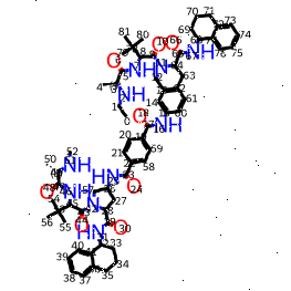 CCN[C@@H](C)C(=O)NC(C(=O)N1Cc2cc(NC(=O)c3ccc(C(=O)NC4CC(C(=O)NC5CCCc6ccccc65)N(C(=O)C(NC(=O)[C@H](C)NC)C(C)(C)C)C4)cc3)ccc2CC1C(=O)NC1CCCc2ccccc21)C(C)(C)C